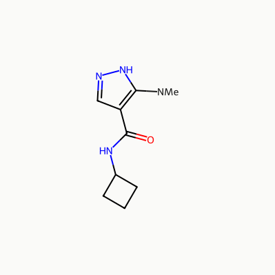 CNc1[nH]ncc1C(=O)NC1CCC1